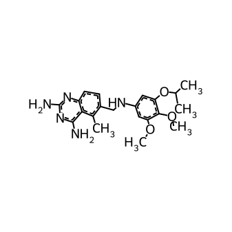 COc1cc(NCc2ccc3nc(N)nc(N)c3c2C)cc(OC(C)C)c1OC